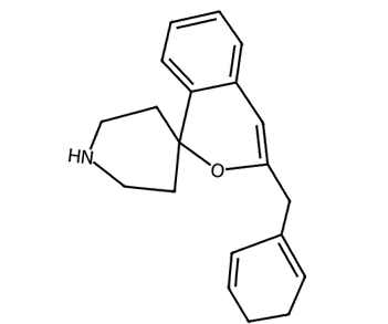 C1=CC(CC2=Cc3ccccc3C3(CCNCC3)O2)=CCC1